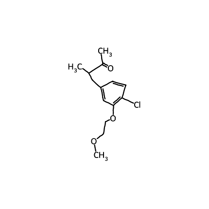 COCCOc1cc(CC(C)C(C)=O)ccc1Cl